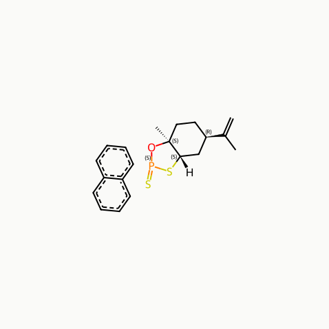 C=C(C)[C@@H]1CC[C@]2(C)O[P@](=S)(c3cccc4ccccc34)S[C@H]2C1